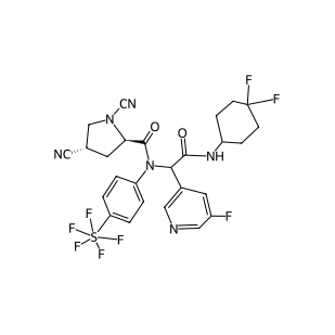 N#C[C@H]1C[C@H](C(=O)N(c2ccc(S(F)(F)(F)(F)F)cc2)C(C(=O)NC2CCC(F)(F)CC2)c2cncc(F)c2)N(C#N)C1